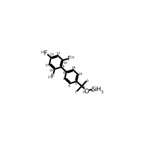 CC(C)(O[SiH3])c1ccc(-c2c(F)cc(F)cc2F)cc1